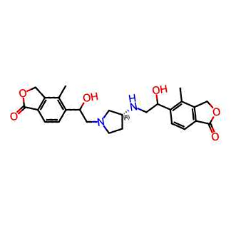 Cc1c(C(O)CN[C@@H]2CCN(CC(O)c3ccc4c(c3C)COC4=O)C2)ccc2c1COC2=O